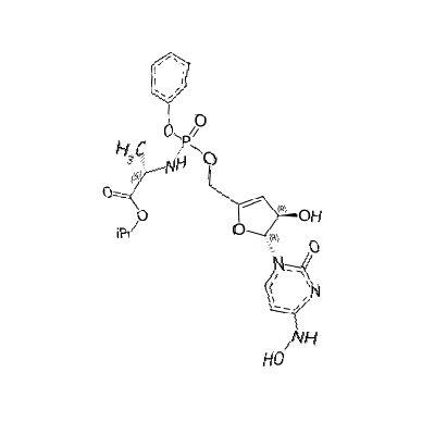 CC(C)OC(=O)[C@H](C)NP(=O)(OCC1=C[C@@H](O)[C@H](n2ccc(NO)nc2=O)O1)Oc1ccccc1